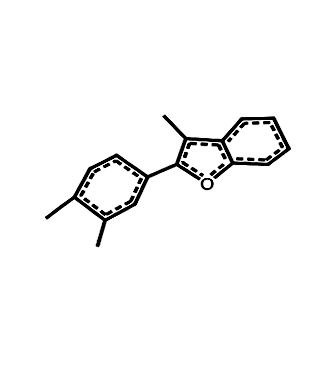 Cc1ccc(-c2oc3ccccc3c2C)cc1C